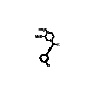 CCC(C#Cc1cccc(Cl)c1)N1CCN(C(=O)O)C(OC)C1